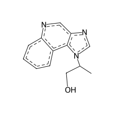 CC(CO)n1cnc2cnc3ccccc3c21